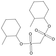 CC1CCCCC1OS(=O)(=O)CS(=O)(=O)OC1CCCCC1C